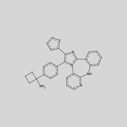 NC1(c2ccc(-c3c(-c4cccs4)nc4n3-c3cccnc3Nc3ccccc3-4)cc2)CCC1